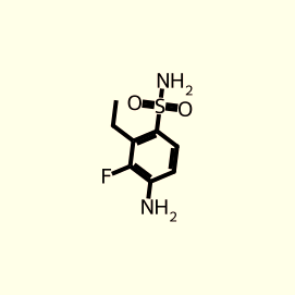 CCc1c(S(N)(=O)=O)ccc(N)c1F